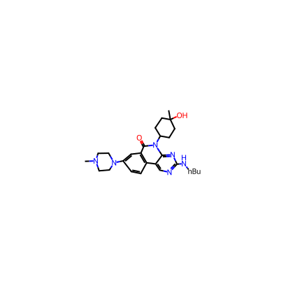 CCCCNc1ncc2c3ccc(N4CCN(C)CC4)cc3c(=O)n(C3CCC(C)(O)CC3)c2n1